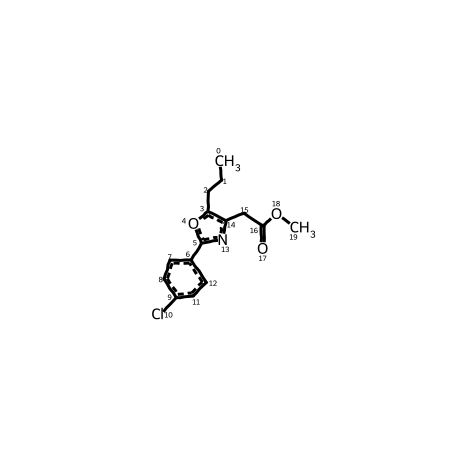 CCCc1oc(-c2ccc(Cl)cc2)nc1CC(=O)OC